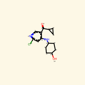 O=C(c1cnc(Cl)cc1NC1CCC(O)CC1)C1CC1